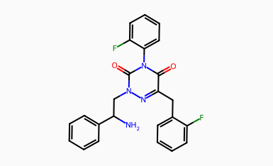 NC(Cn1nc(Cc2ccccc2F)c(=O)n(-c2ccccc2F)c1=O)c1ccccc1